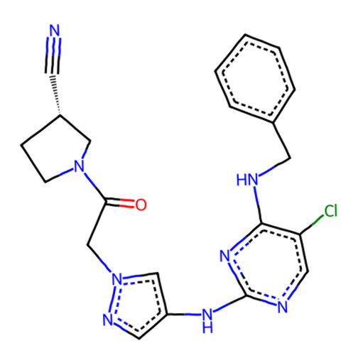 N#C[C@H]1CCN(C(=O)Cn2cc(Nc3ncc(Cl)c(NCc4ccccc4)n3)cn2)C1